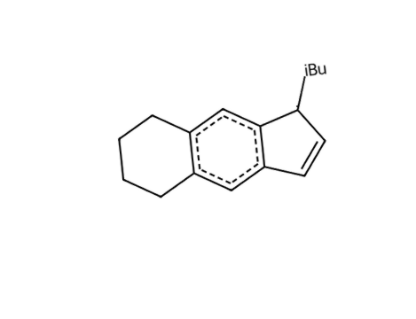 CCC(C)[C]1C=Cc2cc3c(cc21)CCCC3